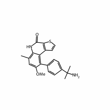 COc1cc(C)c2[nH]c(=O)c3sccc3c2c1-c1ccc(C(C)(C)N)cc1